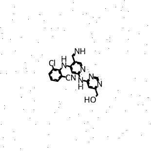 N#Cc1cccc(Cl)c1Nc1cc(Nc2cc(CO)ncn2)ncc1C=N